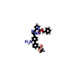 CC(C)(C)OC(=O)c1cccc(-c2ccc(-c3cnc(C4CCCN4C(=O)OCc4ccccc4)[nH]3)cc2N)c1